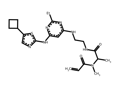 C=CC(=O)N(C)C(C)C(=O)NCCNc1cc(Nc2ncc(C3CCC3)s2)nc(CC)n1